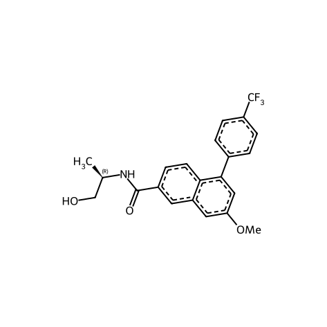 COc1cc(-c2ccc(C(F)(F)F)cc2)c2ccc(C(=O)N[C@H](C)CO)cc2c1